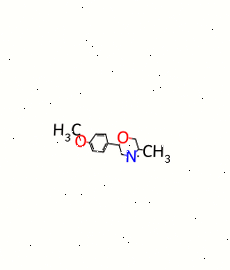 COc1ccc(C2C[N]C(C)CO2)cc1